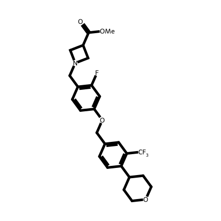 COC(=O)C1CN(Cc2ccc(OCc3ccc(C4CCOCC4)c(C(F)(F)F)c3)cc2F)C1